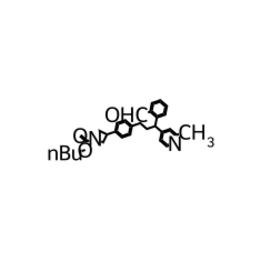 CCCCOC(=O)N1CC(c2ccc(CCC(c3ccnc(C)c3)c3ccccc3C=O)cc2)C1